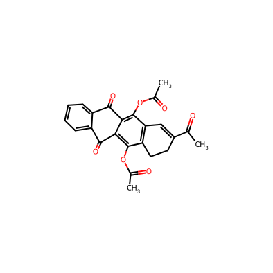 CC(=O)Oc1c2c(c(OC(C)=O)c3c1C(=O)c1ccccc1C3=O)CCC(C(C)=O)=C2